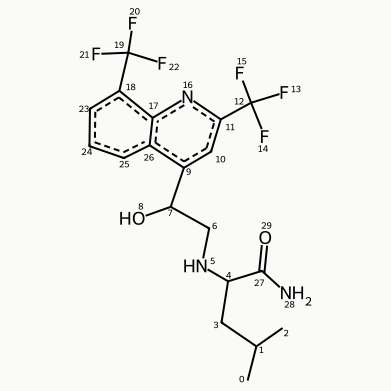 CC(C)CC(NCC(O)c1cc(C(F)(F)F)nc2c(C(F)(F)F)cccc12)C(N)=O